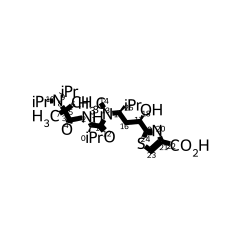 CC(C)[C@H](NC(=O)C(C)(C)N(C(C)C)C(C)C)C(=O)N(C)[C@H](C[C@@H](O)c1nc(C(=O)O)cs1)C(C)C